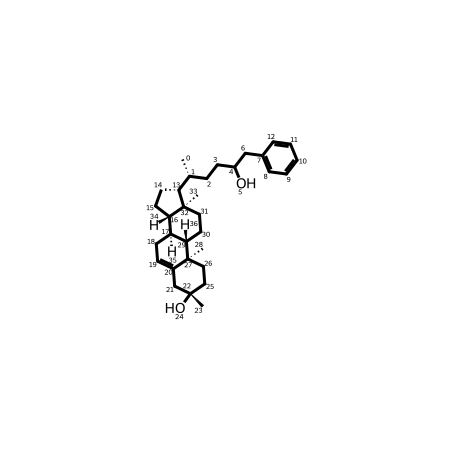 C[C@H](CCC(O)Cc1ccccc1)[C@H]1CC[C@H]2[C@@H]3CC=C4C[C@@](C)(O)CC[C@]4(C)[C@H]3CC[C@]12C